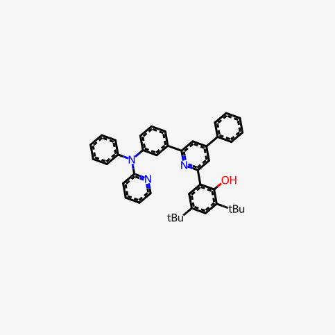 CC(C)(C)c1cc(-c2cc(-c3ccccc3)cc(-c3cccc(N(c4ccccc4)c4ccccn4)c3)n2)c(O)c(C(C)(C)C)c1